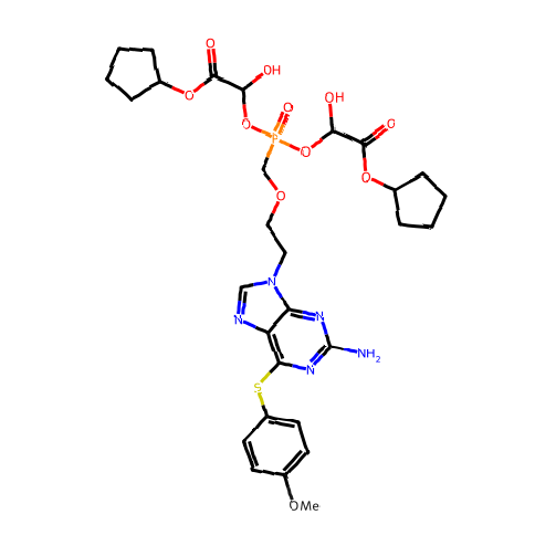 COc1ccc(Sc2nc(N)nc3c2ncn3CCOCP(=O)(OC(O)C(=O)OC2CCCC2)OC(O)C(=O)OC2CCCC2)cc1